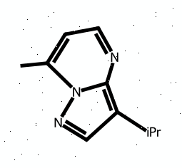 Cc1ccnc2c(C(C)C)cnn12